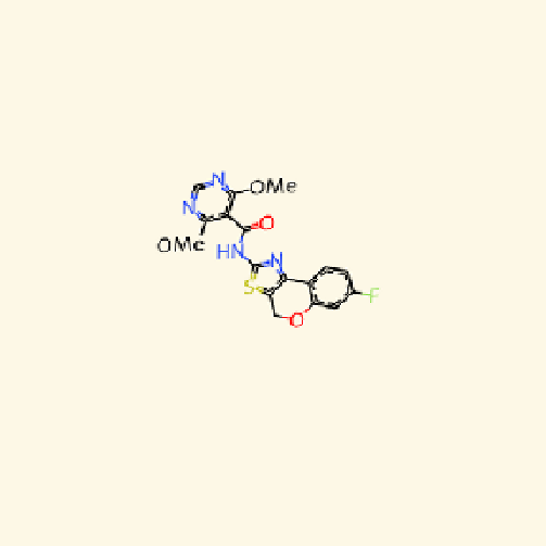 COc1ncnc(OC)c1C(=O)Nc1nc2c(s1)COc1cc(F)ccc1-2